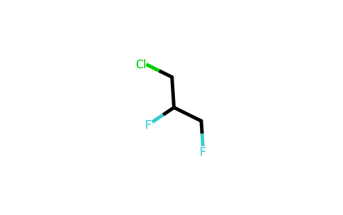 FCC(F)CCl